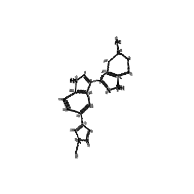 CC(=O)N1CCc2[nH]nc(-c3c[nH]c4ccc(-c5cnn(C)c5)cc34)c2C1